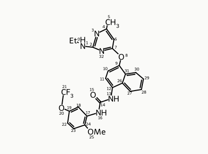 CCNc1nc(C)cc(Oc2ccc(NC(=O)Nc3cc(OC(F)(F)F)ccc3OC)c3ccccc23)n1